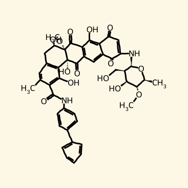 CO[C@@H]1[C@@H](O)[C@@H](CO)[C@@H](NC2=CC(=O)c3c(cc4c(c3O)C(=O)[C@]3(OC)[C@H](O)Cc5cc(C)c(C(=O)Nc6ccc(-c7ccccc7)cc6)c(O)c5[C@]3(O)C4=O)C2=O)O[C@H]1C